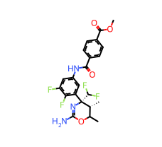 COC(=O)c1ccc(C(=O)Nc2cc(F)c(F)c([C@]3(C(F)F)N=C(N)OC(C)[C@H]3C)c2)cc1